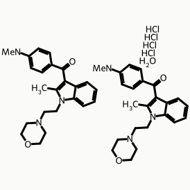 CNc1ccc(C(=O)c2c(C)n(CCN3CCOCC3)c3ccccc23)cc1.CNc1ccc(C(=O)c2c(C)n(CCN3CCOCC3)c3ccccc23)cc1.Cl.Cl.Cl.Cl.O